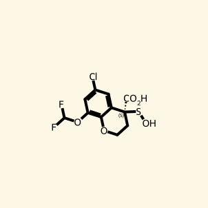 O=C(O)[C@]1(SO)CCOc2c(OC(F)F)cc(Cl)cc21